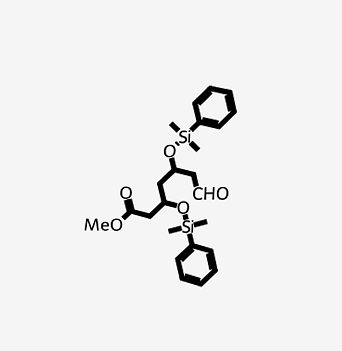 COC(=O)CC(CC(CC=O)O[Si](C)(C)c1ccccc1)O[Si](C)(C)c1ccccc1